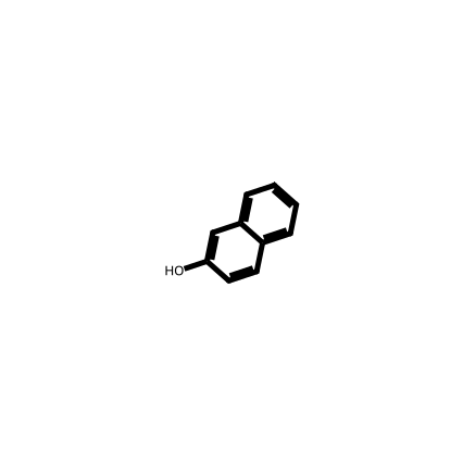 Oc1ccc2cc[c]cc2c1